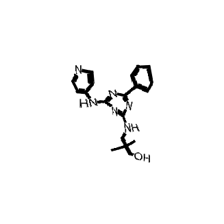 CC(C)(CO)CNc1nc(Nc2ccncc2)nc(-c2ccccc2)n1